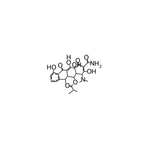 CC(C)C(=O)OC1C2C(=C(O)C3(O)C(=O)C(C(N)=O)=C(O)C(N(C)C)C13)C(=O)c1c(O)cccc1C2C